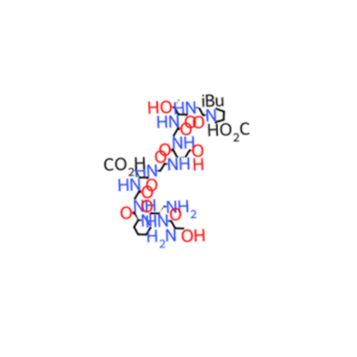 CC[C@H](C)[C@H](NC(=O)[C@@H](NC(=O)CNC(=O)[C@H](CCO)NC(=O)CNC(=O)[C@H](CC(=O)O)NC(=O)CNC(=O)[C@@H]1CCCCN1C(=O)[C@H](CN)NC(=O)[C@@H](N)CO)[C@@H](C)O)C(=O)N1CCC[C@H]1C(=O)O